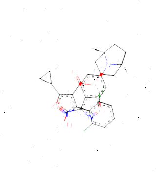 O=C(O[C@H]1C[C@H]2CC[C@@H](C1)N2c1ccc2c(C(=O)O)noc2c1)c1c(-c2c(Cl)cccc2Cl)noc1C1CC1